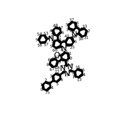 c1ccc(-c2ccc(-c3nc(-c4ccccc4)nc(-c4ccc(-n5c6ccc(-n7c8ccccc8c8ccccc87)cc6c6c7c8ccccc8n(-c8ccccc8)c7ccc65)c5oc6ccccc6c45)n3)cc2)cc1